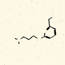 CCc1cccc(OCCCN(C)C)n1